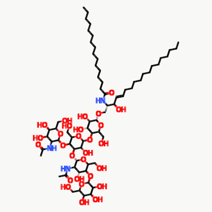 CCCCCCCCCCCCC/C=C/[C@@H](O)[C@H](CO[C@@H]1OC(CO)[C@@H](O[C@@H]2OC(CO)[C@H](O[C@@H]3OC(CO)[C@H](O)[C@H](O)C3NC(C)=O)[C@H](O[C@@H]3OC(CO)[C@@H](O[C@@H]4OC(CO)[C@H](O)[C@H](O)C4O)[C@H](O)C3NC(C)=O)C2O)[C@H](O)C1O)NC(=O)CCCCCCCCCCCCCCC